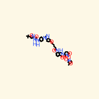 CC1CN(C(=O)ON2C(=O)CCC(N3Cc4c(NC(=O)CCCCOc5ccc6c(c5)ncn6-c5ccc(NC(=O)Nc6cc(C(C)(C)C)on6)cc5)cccc4C3=O)C2=O)CCO1